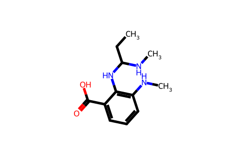 CCC(NC)Nc1c(NC)cccc1C(=O)O